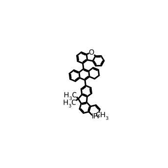 C/C=C\c1c(C(C)C)ccc2c1-c1ccc(-c3c4c(c(-c5cccc6oc7ccccc7c56)c5ccccc35)C=CCC4)cc1C2(C)C